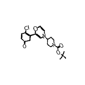 CC(C)(C)OC(=O)N1CCC(N2C=COC(C3=C(Cl)C=CC(=O)C3)=C2)CC1